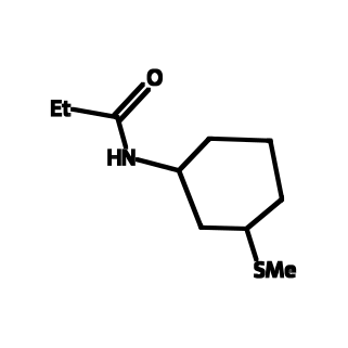 CCC(=O)NC1CCCC(SC)C1